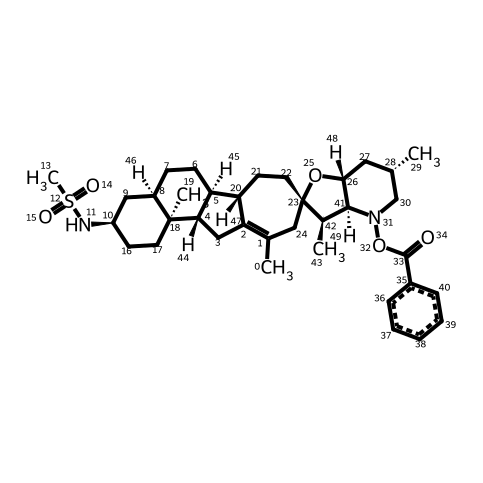 CC1=C2C[C@H]3[C@@H](CC[C@@H]4C[C@H](NS(C)(=O)=O)CC[C@@]43C)[C@@H]2CC[C@@]2(C1)O[C@@H]1C[C@H](C)CN(OC(=O)c3ccccc3)[C@H]1[C@H]2C